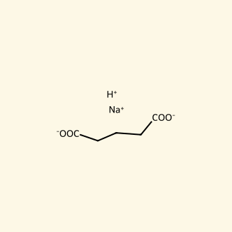 O=C([O-])CCCC(=O)[O-].[H+].[Na+]